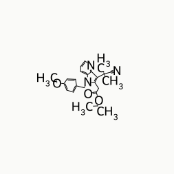 COc1ccc(Cn2c(CC(=O)OC(C)C)c(C(C)(C)C#N)c3ncccc32)cc1